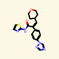 O=C(Nc1nccs1)C(=CC1CCOCC1)c1ccc(-n2cncn2)cc1